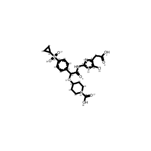 O=C(O)Cc1nc(NC(=O)C(OC2CCN(C(=O)O)CC2)c2ccc(S(=O)(=O)C3CC3)cc2)sc1Cl